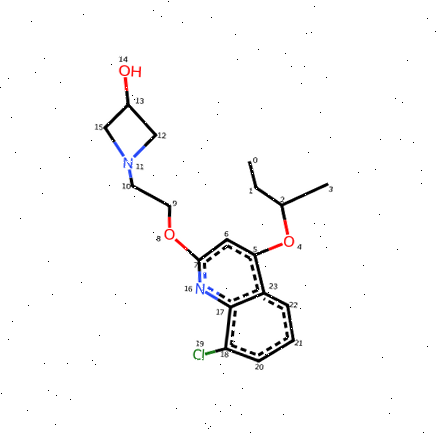 CCC(C)Oc1cc(OCCN2CC(O)C2)nc2c(Cl)cccc12